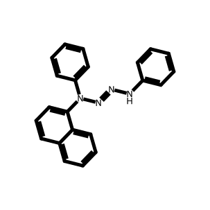 c1ccc(NN=NN(c2ccccc2)c2cccc3ccccc23)cc1